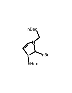 CCCCCCCCCCCN1C=CN(CCCCCC)C1CCCC